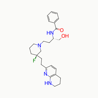 O=C(N[C@H](CO)CCN1CCC[C@@](F)(CCc2ccc3c(n2)NCCC3)C1)c1ccccc1